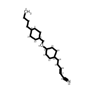 CCCCC1CCC(COC2CCC(CCC=CC#N)CC2)CC1